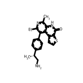 CCc1nc(C)c2[nH]c(=O)c3sccc3c2c1-c1ccc([C@@H](C)CN)cc1